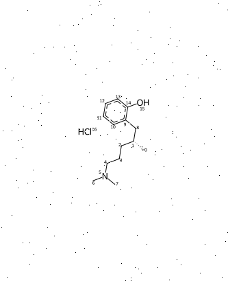 C[C@H](CCCN(C)C)Cc1ccccc1O.Cl